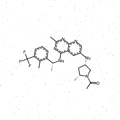 CC(=O)N1C[C@@H](Nc2cnc3nc(C)nc(N[C@H](C)c4cccc(C(F)(F)F)c4C)c3c2)C[C@H]1C